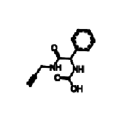 C#CCNC(=O)C(NC(=O)O)c1ccccc1